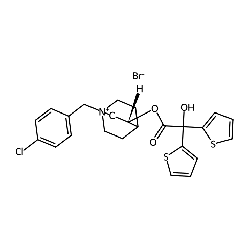 O=C(O[C@H]1C[N+]2(Cc3ccc(Cl)cc3)CCC1CC2)C(O)(c1cccs1)c1cccs1.[Br-]